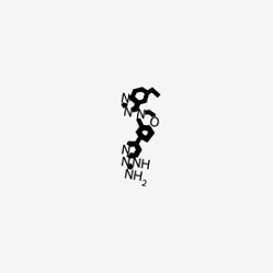 CCC1CCc2ncnc(N3CCOc4ccc(-c5cnc6nc(N)[nH]c6c5)cc4C3)c2C1